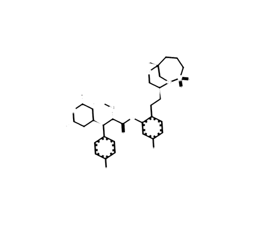 C[C@@H]1CC([C@H](c2ccc(F)cc2)[C@H](NC(=O)O)C(=O)Nc2cc(F)ccc2CC[C@H]2CN[C@@H]3CCCS(=O)(=O)N2C3)C[C@H](C)O1